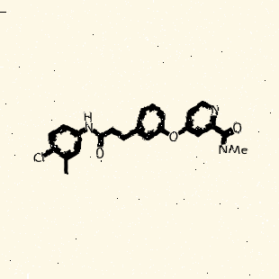 CNC(=O)c1cc(Oc2cccc(CCC(=O)Nc3ccc(Cl)c(C)c3)c2)ccn1